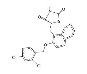 O=C1NC(=O)C(Cc2c(OCc3ccc(Cl)cc3Cl)ccc3ccccc23)S1